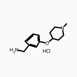 CN1CCC(Oc2cccc(CN)c2)CC1.Cl